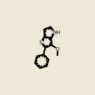 COc1c(-c2ccccc2)sc2cc[nH]c12